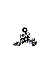 CN1CCS/C1=N\NC(=O)C(=O)C(NC(=O)C1CCCCC1)C1CCNCC1.Cl.Cl